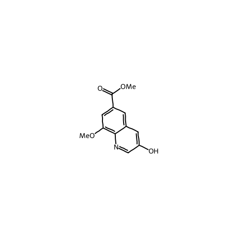 COC(=O)c1cc(OC)c2ncc(O)cc2c1